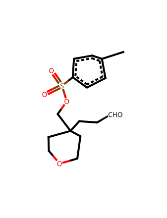 Cc1ccc(S(=O)(=O)OCC2(CCC=O)CCOCC2)cc1